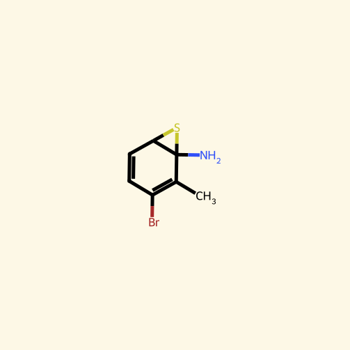 CC1=C(Br)C=CC2SC12N